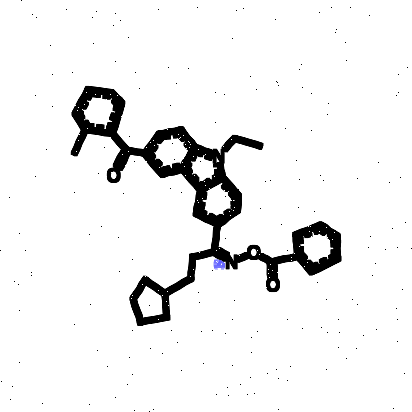 CCn1c2ccc(C(=O)c3ccccc3C)cc2c2cc(/C(CCC3CCCC3)=N\OC(=O)c3ccccc3)ccc21